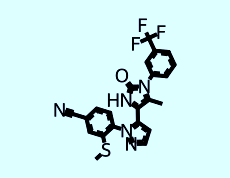 CSc1cc(C#N)ccc1-n1nccc1-c1[nH]c(=O)n(-c2cccc(C(F)(F)F)c2)c1C